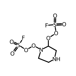 O=S(=O)(F)OOC1CNCCN1OOS(=O)(=O)F